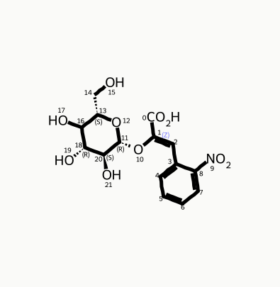 O=C(O)/C(=C/c1ccccc1[N+](=O)[O-])O[C@H]1O[C@@H](CO)C(O)[C@@H](O)[C@@H]1O